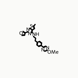 COc1cnc(-c2ccc(CCCNc3nc(-c4ccoc4)nc4sc(C)cc34)cc2)cn1